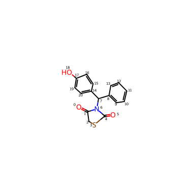 O=C1CSC(=O)N1C(c1ccccc1)c1ccc(O)cc1